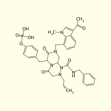 C=CCN1CC(=O)N2C(Cc3ccc(OP(=O)(O)O)cc3)C(=O)N(Cc3cccc4c(C(C)=O)cn(C)c34)CC2N1C(=O)NCc1ccccc1